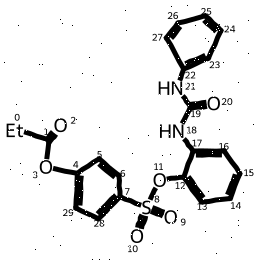 CCC(=O)Oc1ccc(S(=O)(=O)Oc2ccccc2NC(=O)Nc2ccccc2)cc1